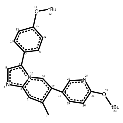 Cc1cc2ncc(-c3ccc(OC(C)(C)C)cc3)n2cc1-c1ccc(OC(C)(C)C)nc1